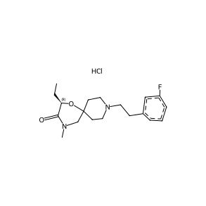 CC[C@H]1OC2(CCN(CCc3cccc(F)c3)CC2)CN(C)C1=O.Cl